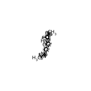 CC(F)(F)c1noc(N2CCC(N3CCC[C@H](Nc4c(F)cc(S(C)(=O)=O)cc4F)C3=O)CC2)n1